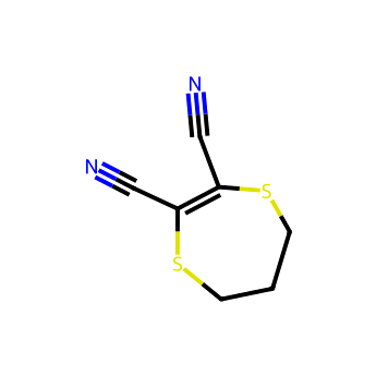 N#CC1=C(C#N)SCCCS1